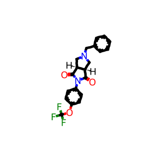 O=C1[C@H]2CN(Cc3ccccc3)C[C@H]2C(=O)N1c1ccc(OC(F)(F)F)cc1